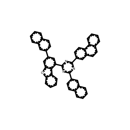 c1ccc2cc(-c3cc(-c4nc(-c5ccc6ccccc6c5)nc(-c5ccc6c(ccc7ccccc76)c5)n4)c4c(c3)oc3ccccc34)ccc2c1